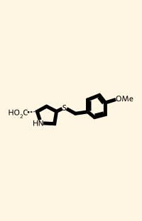 COc1ccc(CSC2CN[C@H](C(=O)O)C2)cc1